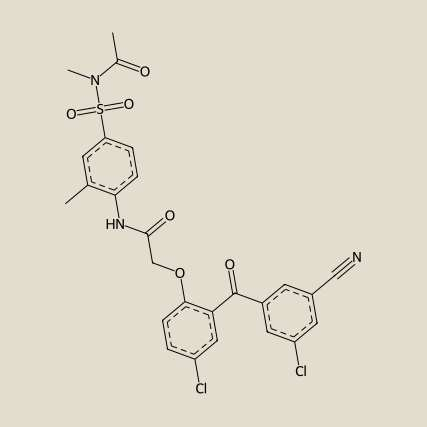 CC(=O)N(C)S(=O)(=O)c1ccc(NC(=O)COc2ccc(Cl)cc2C(=O)c2cc(Cl)cc(C#N)c2)c(C)c1